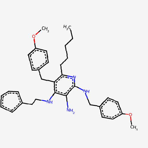 CCCCCc1nc(NCc2ccc(OC)cc2)c(N)c(NCCc2ccccc2)c1Cc1ccc(OC)cc1